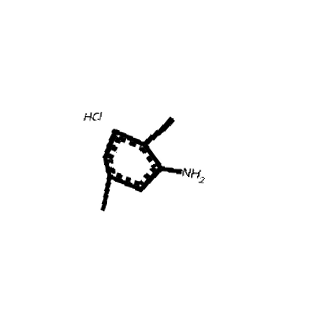 Cc1ccc(C)c(N)c1.Cl